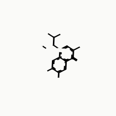 Cc1cn([C@H](CO)C(C)C)c2cc(F)c(I)cc2c1=O